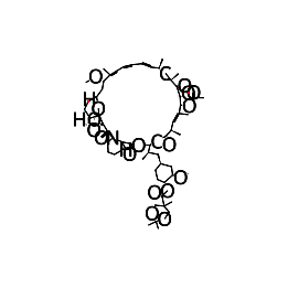 CO[C@H]1C[C@@H]2CC[C@@H](C)[C@@](O)(O2)C(=O)C(=O)N2CCCC[C@H]2C(=O)O[C@H]([C@H](C)C[C@@H]2CC[C@@H](OC(=O)C3(C)COC(C)(C)OC3)[C@H](OC)C2)CC(=O)[C@H](C)/C=C(\C)[C@@H](OC(C)=O)[C@@H](OC)C(=O)[C@H](C)C[C@H](C)/C=C/C=C/C=C/1C